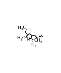 CCCc1cc(/C=C(\C)C#N)c(C)nc1C